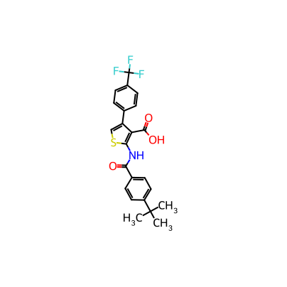 CC(C)(C)c1ccc(C(=O)Nc2scc(-c3ccc(C(F)(F)F)cc3)c2C(=O)O)cc1